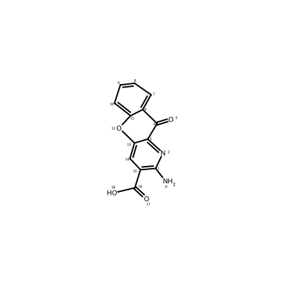 Nc1nc2c(=O)c3ccccc3oc2cc1C(=O)O